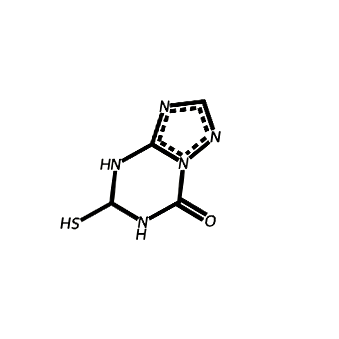 O=C1NC(S)Nc2ncnn21